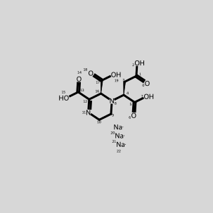 O=C(O)C[C@@H](C(=O)O)N1CCN=C(C(=O)O)[C@H]1C(=O)O.[Na].[Na].[Na]